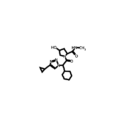 CNC(=O)C1CC(O)CN1C(=O)C(C1CCCCC1)n1cc(C2CC2)nn1